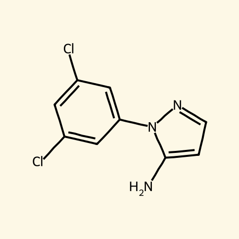 Nc1ccnn1-c1cc(Cl)cc(Cl)c1